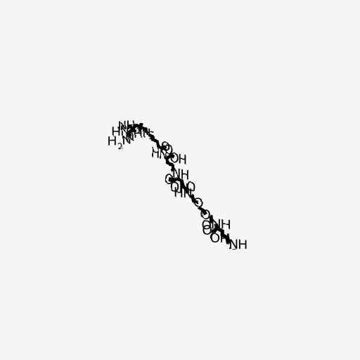 CNCCCCC(NC(=O)COCCOCCNC(=O)CCC(NCCCC(NC(=O)CCCSNCC(C)(C)CC(C)(C)/C(=N/N)NN)C(=O)O)C(=O)O)C(=O)O